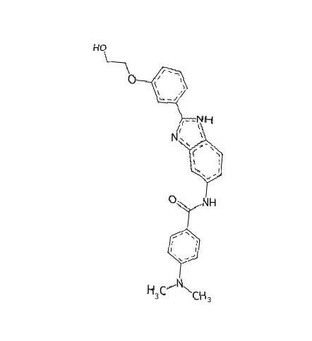 CN(C)c1ccc(C(=O)Nc2ccc3[nH]c(-c4cccc(OCCO)c4)nc3c2)cc1